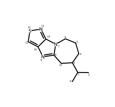 CC(C)C1CCCn2c(nc3csnc32)C1